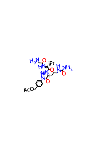 CC(=O)OCc1ccc(NC(=O)[C@@H](CCCNC(N)=O)NC(=O)[C@H](NC(=O)CN)C(C)C)cc1